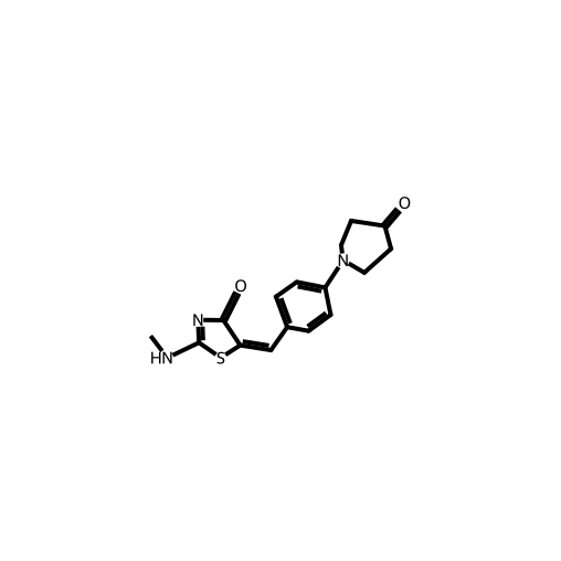 CNC1=NC(=O)/C(=C\c2ccc(N3CCC(=O)CC3)cc2)S1